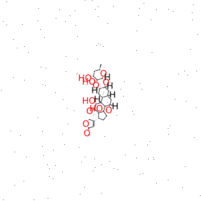 C[C@@H]1C[C@@H](O)[C@]2(O)O[C@@H]3C[C@@]4(C)[C@@H](C[C@@H]5O[C@]56[C@@H]4[C@H](O)C(=O)[C@]4(C)[C@@H](C5=CC(=O)OC5)CC[C@]64O)C[C@H]3O[C@@H]2O1